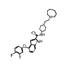 O=C(NC1CCN(CCN2CCCCCC2)CC1)c1cc2c(Oc3ccc(F)c(F)c3)cccc2[nH]1